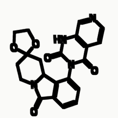 O=C1c2cccc(-n3c(=O)[nH]c4cnccc4c3=O)c2C2CC3(CCN12)OCCO3